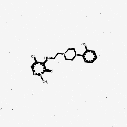 Cn1ncc(Cl)c(NCCN2CCN(c3ccccc3O)CC2)c1=O